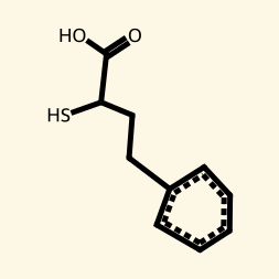 O=C(O)C(S)CCc1ccccc1